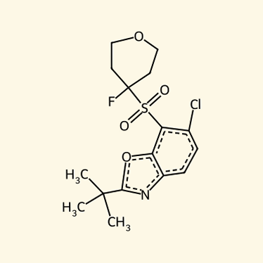 CC(C)(C)c1nc2ccc(Cl)c(S(=O)(=O)C3(F)CCOCC3)c2o1